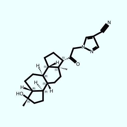 C[C@]12CC[C@@H]3[C@H]4CC[C@](C)(O)[C@@H]4CC[C@H]3[C@@H]1CC[C@@H]2C(=O)Cn1cc(C#N)cn1